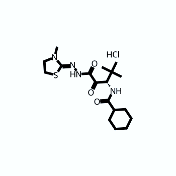 CN1CCSC1=NNC(=O)C(=O)[C@@H](NC(=O)C1CCCCC1)C(C)(C)C.Cl